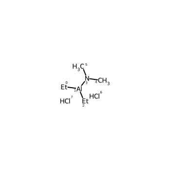 C[CH2][Al]([CH2]C)[N](C)C.Cl.Cl